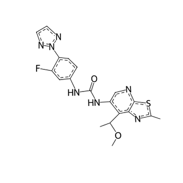 COC(C)c1c(NC(=O)Nc2ccc(-n3nccn3)c(F)c2)cnc2sc(C)nc12